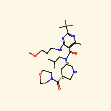 COCCCNc1nc(C(C)(C)C)nc(C)c1C(=O)N(CC(C)C)[C@@H]1CNC[C@H](C(=O)N2CCOCC2)C1